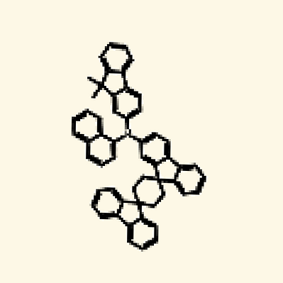 CC1(C)c2ccccc2-c2ccc(N(c3ccc4c(c3)C3(CCC5(CC3)c3ccccc3-c3ccccc35)c3ccccc3-4)c3cccc4ccccc34)cc21